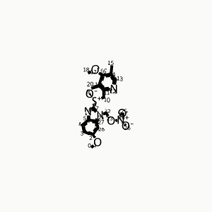 COc1ccc2nc([S@@+]([O-])Cc3ncc(C)c(OC)c3C)n(CO[N+](=O)[O-])c2c1